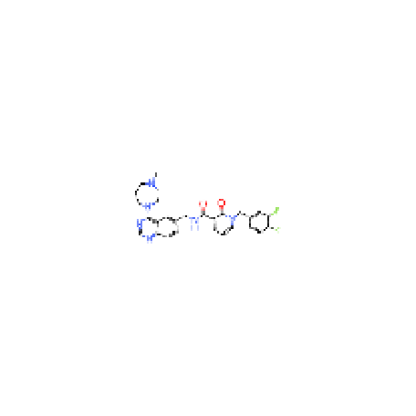 CN1CCCN(c2ncnc3ccc(CNC(=O)c4cccn(Cc5ccc(F)c(F)c5)c4=O)cc23)CC1